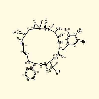 CCC(C)C1C(=O)N[C@@H](Cc2cc(Br)c(O)c(Br)c2)C(=O)NC(C(C)(C)O)C(=O)OC(c2ccccc2)C(C)/C=C/C=C(\C)C(OC)CC2OC2(C)C(=O)N1C